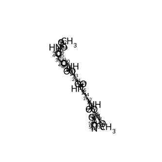 COCCN(CCOC(=O)NCCCCCCNC(=O)OCCCCOC(=O)Nc1ccc(Cc2ccc(NC(=O)OC)cc2)cc1)C(=O)c1ccncc1